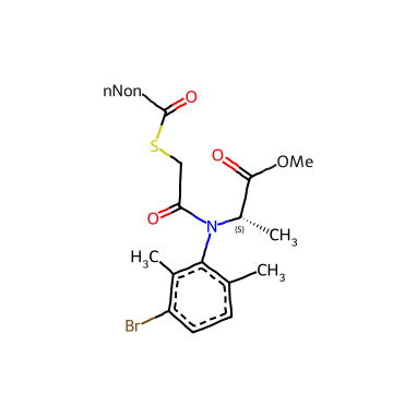 CCCCCCCCCC(=O)SCC(=O)N(c1c(C)ccc(Br)c1C)[C@@H](C)C(=O)OC